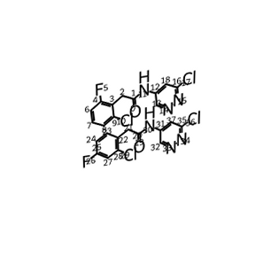 O=C(Cc1c(F)cccc1Cl)Nc1cnnc(Cl)c1.O=C(Cc1ccc(F)cc1Cl)Nc1cnnc(Cl)c1